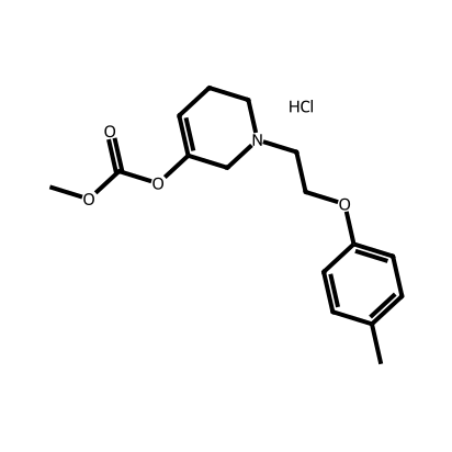 COC(=O)OC1=CCCN(CCOc2ccc(C)cc2)C1.Cl